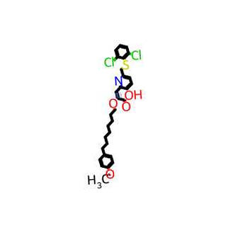 COc1ccc(CCCCCCCCO/C(=C/c2cccc(CSc3c(Cl)cccc3Cl)n2)C(=O)O)cc1